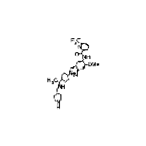 COc1cc2nn(C3CCC(C(C)NCC4CCNCC4)CC3)cc2cc1NC(=O)c1cccc(C(F)(F)F)n1